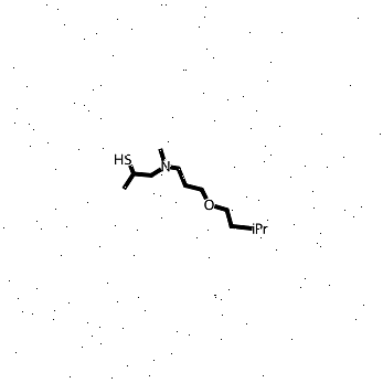 CC(C)CCOCCCN(C)CC(C)S